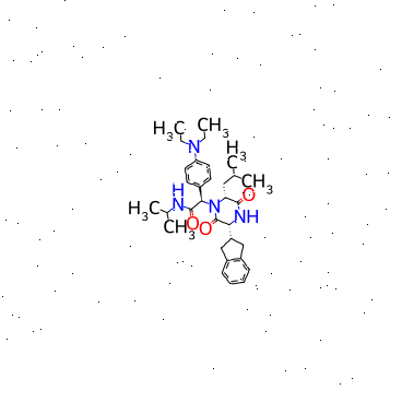 CCN(CC)c1ccc([C@H](C(=O)NC(C)C)N2C(=O)[C@@H](C3Cc4ccccc4C3)NC(=O)[C@H]2CC(C)C)cc1